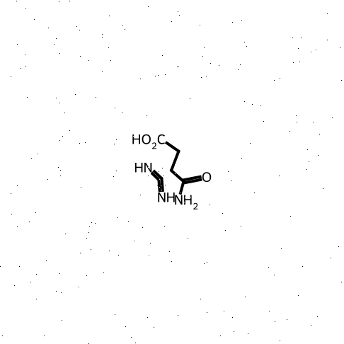 N=C=N.NC(=O)CCC(=O)O